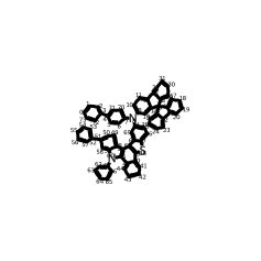 c1ccc(-c2ccc(N(c3ccc4c(c3)C3(c5ccccc5-c5ccccc53)c3ccccc3-4)c3ccc4sc5c6ccccc6c6c(c7ccc(-c8ccccc8)cc7n6-c6ccccc6)c5c4c3)cc2)cc1